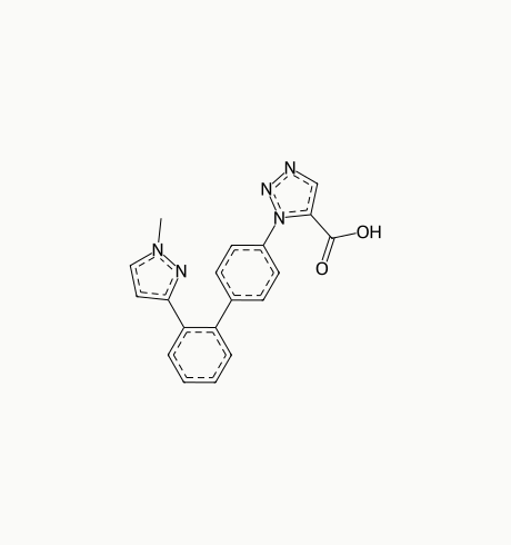 Cn1ccc(-c2ccccc2-c2ccc(-n3nncc3C(=O)O)cc2)n1